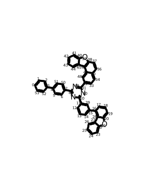 c1ccc(-c2ccc(-c3nc(-c4cccc(-c5cccc6oc7ccccc7c56)c4)nc(-c4ccc5ccc6oc7ccccc7c6c5c4)n3)cc2)cc1